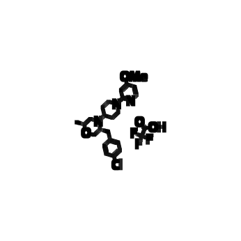 COc1ccnc(N2CCC(N3C[C@H](C)OC[C@@H]3Cc3ccc(Cl)cc3)CC2)c1.O=C(O)C(F)(F)F